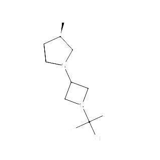 CC(C)(C)N1CC(N2CC[C@@H](F)C2)C1